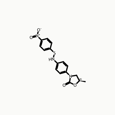 C[C@@H]1CN(c2ccc(NSc3ccc([N+](=O)[O-])cc3)cc2)C(=O)O1